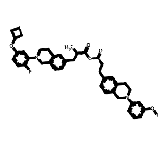 CC(C)Oc1cccc(N2CCc3cc(CCC(=O)OC(=O)C(C)Cc4ccc5c(c4)CCN(c4cc(OC6CCC6)ccc4F)C5)ccc3C2)c1